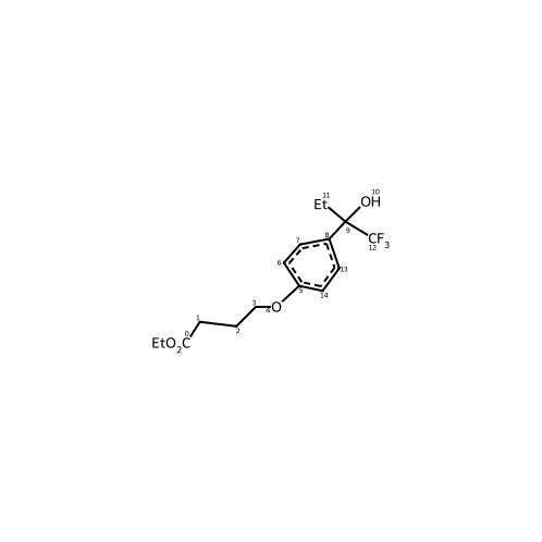 CCOC(=O)CCCOc1ccc(C(O)(CC)C(F)(F)F)cc1